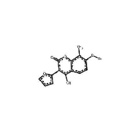 CCOc1ccc2c(O)c(-c3ccco3)c(=O)oc2c1C